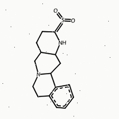 O=S(=O)=C1CCC2CN3CCc4ccccc4C3CC2N1